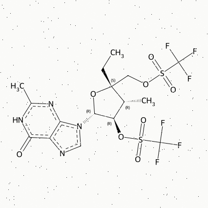 CC[C@]1(COS(=O)(=O)C(F)(F)F)O[C@@H](n2cnc3c(=O)[nH]c(C)nc32)[C@H](OS(=O)(=O)C(F)(F)F)[C@H]1C